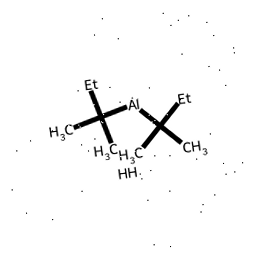 CC[C](C)(C)[Al][C](C)(C)CC.[HH]